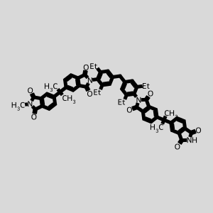 CCc1cc(Cc2cc(CC)c(N3C(=O)c4ccc(C(C)(C)c5ccc6c(c5)C(=O)N(C)C6=O)cc4C3=O)c(CC)c2)cc(CC)c1N1C(=O)c2ccc(C(C)(C)c3ccc4c(c3)C(=O)NC4=O)cc2C1=O